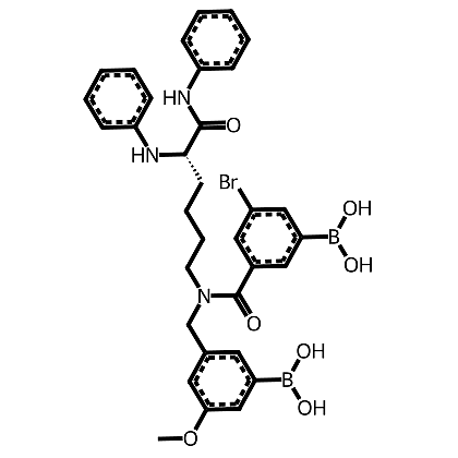 COc1cc(CN(CCCC[C@H](Nc2ccccc2)C(=O)Nc2ccccc2)C(=O)c2cc(Br)cc(B(O)O)c2)cc(B(O)O)c1